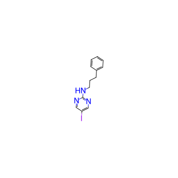 Ic1cnc(NCCCc2ccccc2)nc1